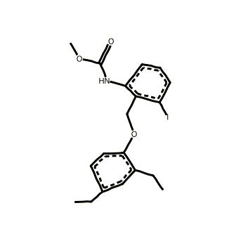 CCc1ccc(OCc2c(I)cccc2NC(=O)OC)c(CC)c1